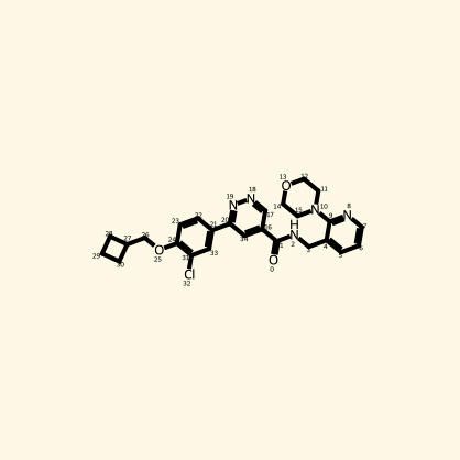 O=C(NCc1cccnc1N1CCOCC1)c1cnnc(-c2ccc(OCC3CCC3)c(Cl)c2)c1